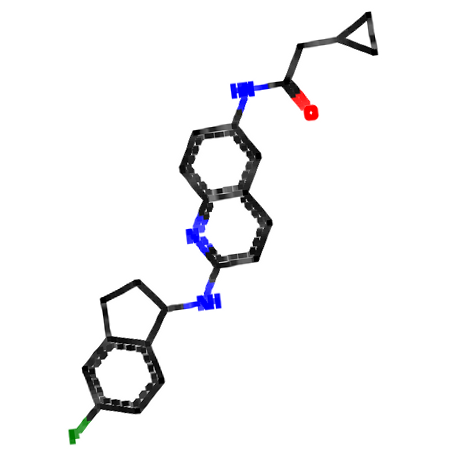 O=C(CC1CC1)Nc1ccc2nc(NC3CCc4cc(F)ccc43)ccc2c1